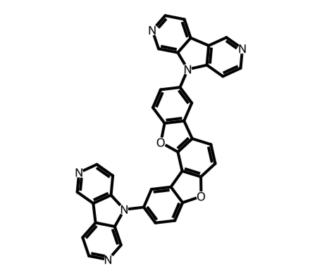 c1cc2c(cn1)c1ccncc1n2-c1ccc2oc3c(ccc4oc5ccc(-n6c7ccncc7c7ccncc76)cc5c43)c2c1